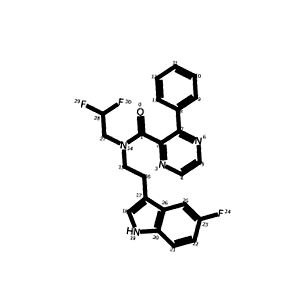 O=C(c1nccnc1-c1ccccc1)N(CCc1c[nH]c2ccc(F)cc12)CC(F)F